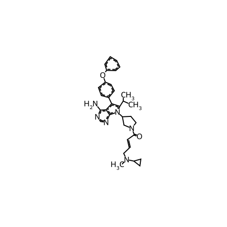 CC(C)c1c(-c2ccc(Oc3ccccc3)cc2)c2c(N)ncnc2n1C1CCN(C(=O)C=CCN(C)C2CC2)C1